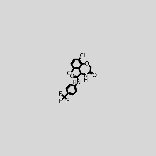 O=C1COc2c(Cl)ccc(Cl)c2C(C(=O)Nc2ccc(C(F)(F)F)cc2)N1